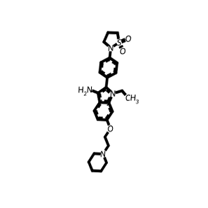 CCn1c(-c2ccc(N3CCCS3(=O)=O)cc2)c(N)c2ccc(OCCN3CCCCC3)cc21